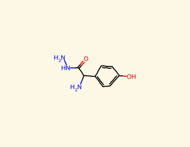 NNC(=O)C(N)c1ccc(O)cc1